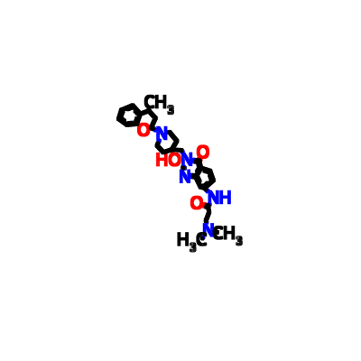 CC(CC(=O)N1CCC(O)(Cn2cnc3cc(NC(=O)CCN(C)C)ccc3c2=O)CC1)c1ccccc1